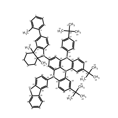 Cc1ccccc1-c1ccc2c(c1)C1(C)CCCCC1(C)N2c1cc2c3c(c1)N(c1ccc4sc5ccccc5c4c1)c1ccc(C(C)(C)C)cc1B3c1cc(C(C)(C)C)ccc1N2c1ccc(C(C)(C)C)cc1